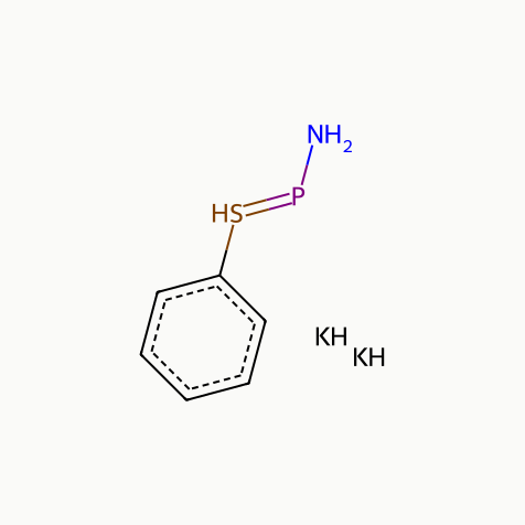 NP=[SH]c1ccccc1.[KH].[KH]